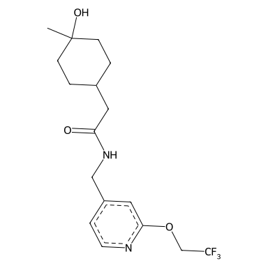 CC1(O)CCC(CC(=O)NCc2ccnc(OCC(F)(F)F)c2)CC1